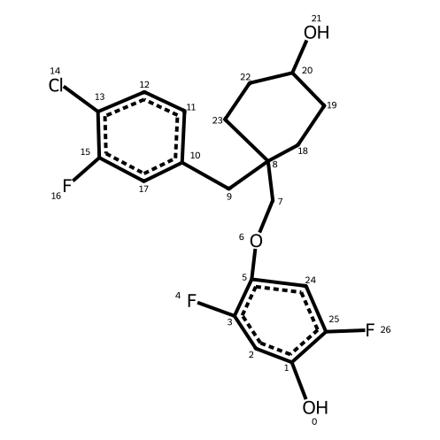 Oc1cc(F)c(OCC2(Cc3ccc(Cl)c(F)c3)CCC(O)CC2)cc1F